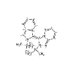 C[Si](C)(C)N1N=C2C=CC=CN2/C1=C1\N2C=CC=CC2=NN1[Si](C)(C)C